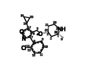 C[C@@H]1C[C@H](OCc2c(-c3ccccc3Cl)noc2C2CC2)CCN1